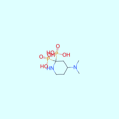 CN(C)C1CCNC(P(=O)(O)O)(P(=O)(O)O)C1